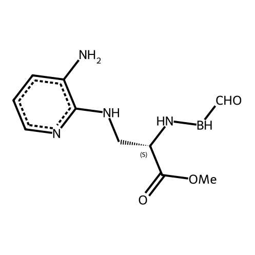 COC(=O)[C@H](CNc1ncccc1N)NBC=O